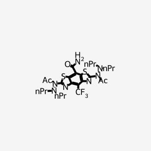 CCCN(CCC)N(C(C)=O)c1nc2c(C(F)(F)F)c3nc(N(C(C)=O)N(CCC)CCC)sc3c(C(N)=O)c2s1